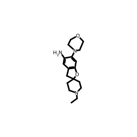 CCN1CCC2(CC1)Cc1cc(N)c(N3CCOCC3)cc1O2